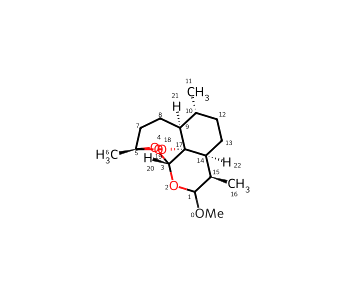 COC1O[C@@H]2O[C@@]3(C)CC[C@H]4[C@H](C)CC[C@@H]([C@H]1C)[C@@]24OO3